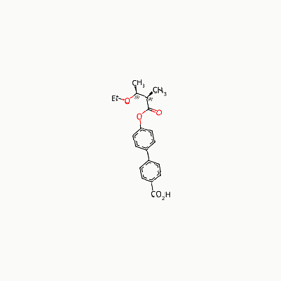 CCO[C@@H](C)[C@@H](C)C(=O)Oc1ccc(-c2ccc(C(=O)O)cc2)cc1